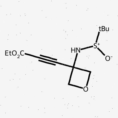 CCOC(=O)C#CC1(N[S+]([O-])C(C)(C)C)COC1